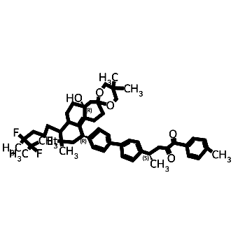 CCC1(C)C[C@H](c2ccc(-c3ccc([C@@H](C)CC(=O)C(=O)c4ccc(C)cc4)cc3)cc2)C2=C3CCC4(C[C@]3(O)CCC2C1CCCC(C)(F)C(C)(C)F)OCC(C)(C)CO4